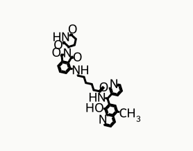 Cc1cc(C(NC(=O)CCCCCNc2cccc3c2C(=O)N(C2CCC(=O)NC2=O)C3=O)c2cccnc2)c(O)c2ncccc12